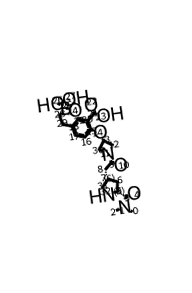 CN(C)C(=O)[C@H]1C[C@@H](CC(=O)N2CC(Oc3ccc4c(c3C(=O)O)O[B-](O)(O)CC4)C2)CN1